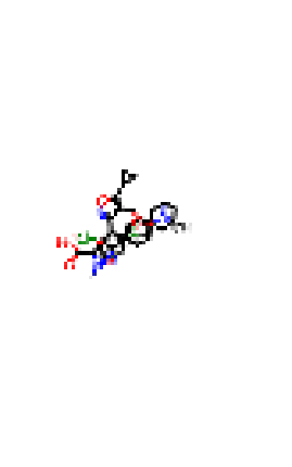 Cn1nc(-c2ccc(N3C4C[C@@H](OCc5c(-c6c(Cl)cccc6Cl)noc5C5CC5)C[C@H]3C4)cc2)cc1C(=O)O